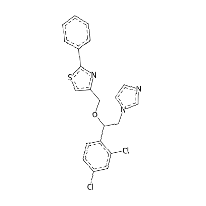 Clc1ccc(C(Cn2ccnc2)OCc2csc(-c3ccccc3)n2)c(Cl)c1